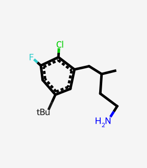 CC(CCN)Cc1cc(C(C)(C)C)cc(F)c1Cl